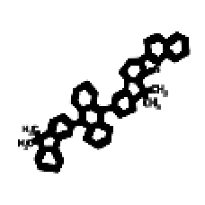 CC1(C)c2ccccc2-c2cc(-c3c4ccccc4c(-c4ccc5c(c4)-c4ccc6c(sc7c8ccccc8ccc67)c4C5(C)C)c4ccccc34)ccc21